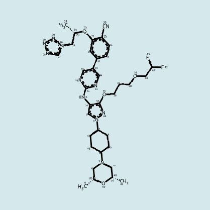 C[C@@H]1CN(C2CCC(n3cc(Nc4ncc(-c5ccc(C#N)c(O[C@@H](C)Cn6cnnn6)c5)cn4)c(OCCCOCC(F)F)n3)CC2)C[C@H](C)O1